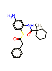 CC1(C(=O)Nc2cc(N)ccc2SC(=O)Cc2ccccc2)CCCCC1